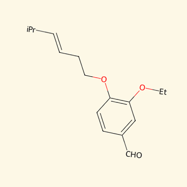 CCOc1cc(C=O)ccc1OCCC=CC(C)C